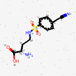 N#Cc1ccc(S(=O)(=O)NCC[C@H](N)C(=O)O)cc1